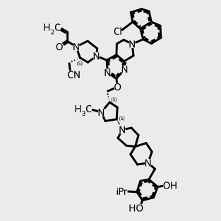 C=CC(=O)N1CCN(c2nc(OC[C@@H]3C[C@H](N4CCC5(CCN(Cc6cc(C(C)C)c(O)cc6O)CC5)CC4)CN3C)nc3c2CCN(c2cccc4cccc(Cl)c24)C3)C[C@@H]1CC#N